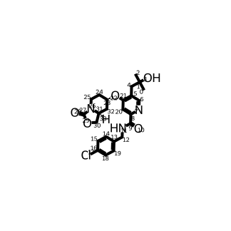 CC(C)(O)Cc1cnc(C(=O)NCc2ccc(Cl)cc2)cc1O[C@H]1CCN2C(=O)OC[C@@H]2C1